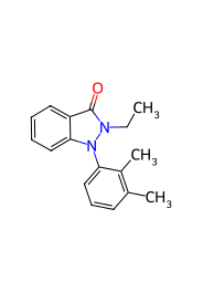 CCn1c(=O)c2ccccc2n1-c1cccc(C)c1C